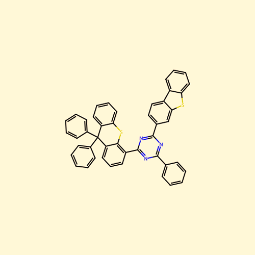 c1ccc(-c2nc(-c3ccc4c(c3)sc3ccccc34)nc(-c3cccc4c3Sc3ccccc3C4(c3ccccc3)c3ccccc3)n2)cc1